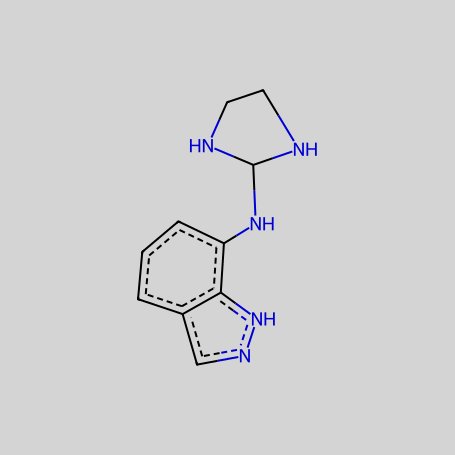 c1cc(NC2NCCN2)c2[nH]ncc2c1